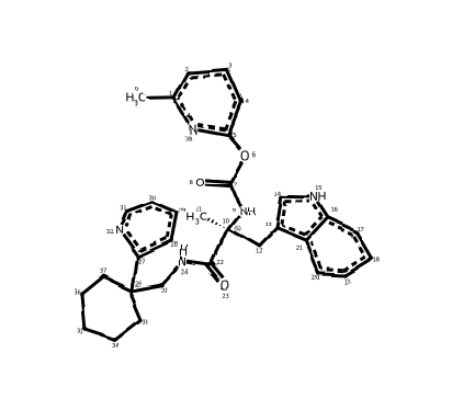 Cc1cccc(OC(=O)N[C@@](C)(Cc2c[nH]c3ccccc23)C(=O)NCC2(c3ccccn3)CCCCC2)n1